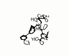 CC(O)(CN(Cc1ccc(-c2cccc(Cl)c2)cc1)NC(=O)c1cc(C(=O)O)ncn1)C(=O)O